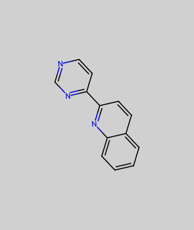 c1ccc2nc(-c3ccncn3)ccc2c1